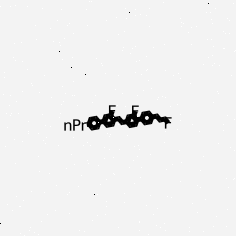 CCCC1CCC(c2ccc(CCc3ccc(C4CCC(CCCF)CC4)c(F)c3)c(F)c2)CC1